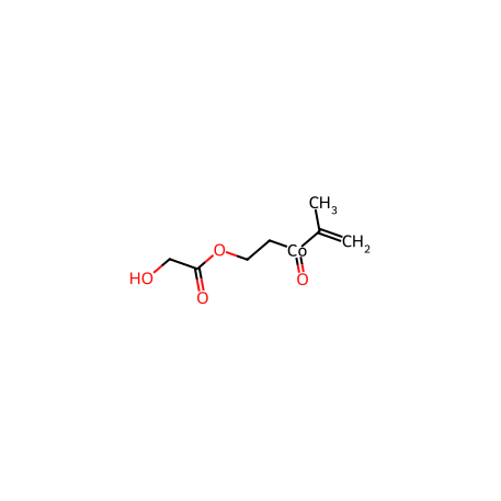 C=[C](C)[Co](=[O])[CH2]COC(=O)CO